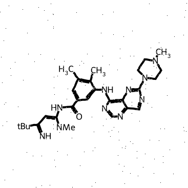 CN/C(=C\C(=N)C(C)(C)C)NC(=O)c1cc(C)c(C)c(Nc2ncnc3cnc(N4CCN(C)CC4)nc23)c1